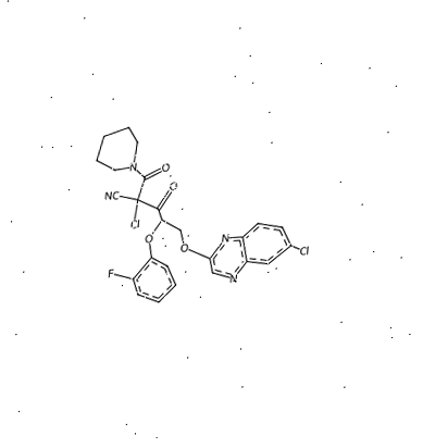 N#CC(Cl)(C(=O)C(COc1cnc2cc(Cl)ccc2n1)Oc1ccccc1F)C(=O)N1CCCCC1